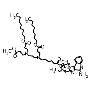 CCCCCCCCOC(=O)CCN(CCCCCC(=O)OC(C)(C)Cn1c(CNCC)nc2c(N)nc3ccccc3c21)CCCN(CCC(=O)OC)CCC(=O)OCCCCCCCC